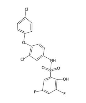 O=S(=O)(Nc1ccc(Oc2ccc(Cl)cc2)c(Cl)c1)c1cc(F)cc(F)c1O